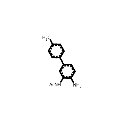 CC(=O)Nc1cc(-c2ccc(C)cc2)ccc1N